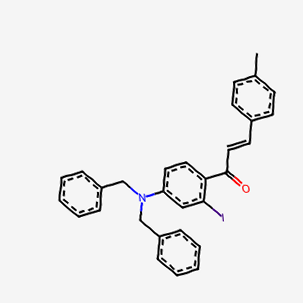 Cc1ccc(/C=C/C(=O)c2ccc(N(Cc3ccccc3)Cc3ccccc3)cc2I)cc1